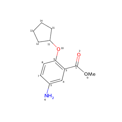 COC(=O)c1cc(N)ccc1OC1CCCC1